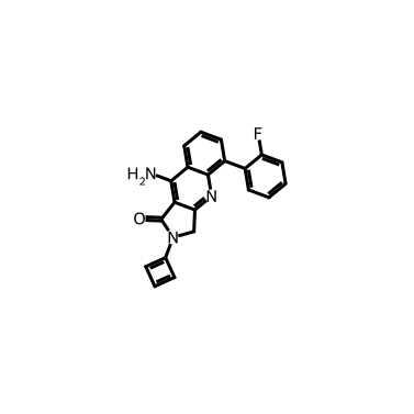 Nc1c2c(nc3c(-c4ccccc4F)cccc13)CN(C1=CC=C1)C2=O